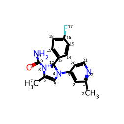 Cc1cc(-n2cc(C)[n+](C(N)=O)c2-c2ccc(F)cc2)ccn1